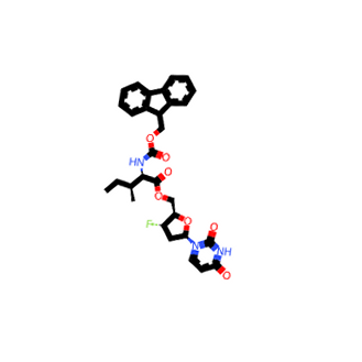 CC[C@H](C)[C@H](NC(=O)OCC1c2ccccc2-c2ccccc21)C(=O)OC[C@H]1O[C@@H](n2ccc(=O)[nH]c2=O)C[C@@H]1F